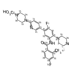 C[C@@H]1CN(c2cc(F)c(-c3ccc(N4CCN(C(=O)O)CC4)nc3)cc2NC(=O)c2ccc(F)cc2C(F)(F)F)CCN1C